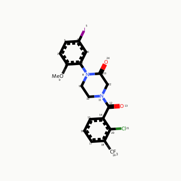 COc1ccc(I)cc1N1CCN(C(=O)c2cccc(C(F)(F)F)c2Cl)CC1=O